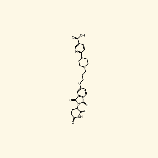 O=C1CCC(N2C(=O)c3ccc(OCCCN4CCN(c5ccc(C(=O)O)cn5)CC4)cc3C2=O)C(=O)N1